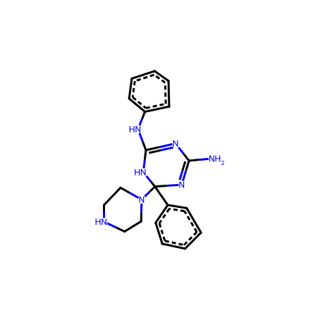 NC1=NC(c2ccccc2)(N2CCNCC2)NC(Nc2ccccc2)=N1